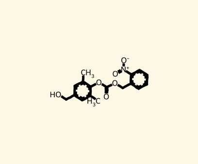 Cc1cc(CO)cc(C)c1OC(=O)OCc1ccccc1[N+](=O)[O-]